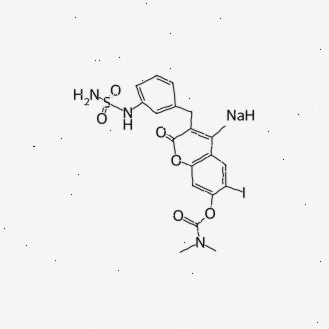 Cc1c(Cc2cccc(NS(N)(=O)=O)c2)c(=O)oc2cc(OC(=O)N(C)C)c(I)cc12.[NaH]